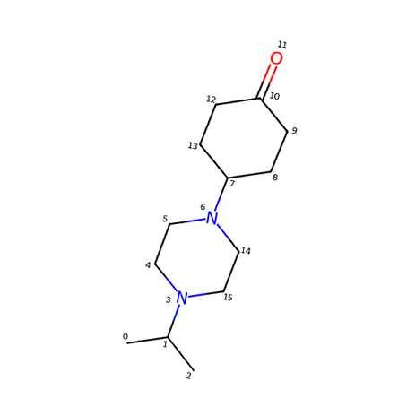 CC(C)N1CCN(C2CCC(=O)CC2)CC1